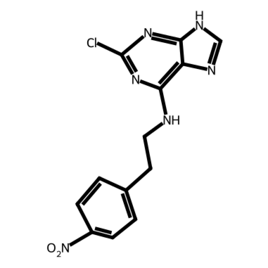 O=[N+]([O-])c1ccc(CCNc2nc(Cl)nc3[nH]cnc23)cc1